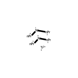 CCC[N-]CCC.CCC[N-]CCC.[Ti+2]